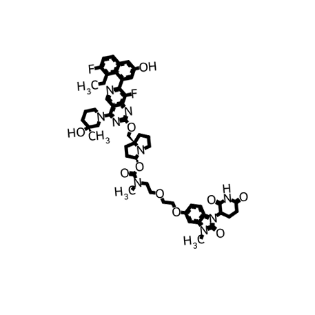 CCc1c(F)ccc2cc(O)cc(-c3ncc4c(N5CCC[C@@](C)(O)C5)nc(OC[C@@]56CCCN5[C@@H](OC(=O)N(C)CCOCCOc5ccc7c(c5)n(C)c(=O)n7C5CCC(=O)NC5=O)CC6)nc4c3F)c12